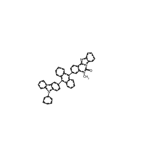 Cn1c(=O)n2c3ccccc3nc2c2ccc(-c3c4ccccc4c(-c4ccc5c(c4)c4ccccc4n5-c4ccccc4)c4ccccc34)cc21